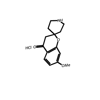 COc1ccc2c(c1)OC1(CCNCC1)CC2=O.Cl